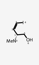 CN[C@H](/C=C\I)CO